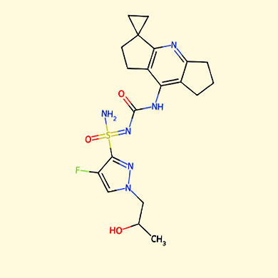 CC(O)Cn1cc(F)c(S(N)(=O)=NC(=O)Nc2c3c(nc4c2CCC42CC2)CCC3)n1